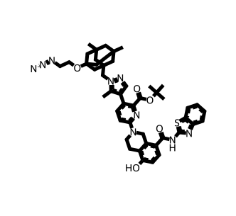 Cc1c(-c2ccc(N3CCc4c(O)ccc(C(=O)Nc5nc6ccccc6s5)c4C3)nc2C(=O)OC(C)(C)C)cnn1CC12CC3(C)CC(C)(C1)CC(OCCN=[N+]=[N-])(C3)C2